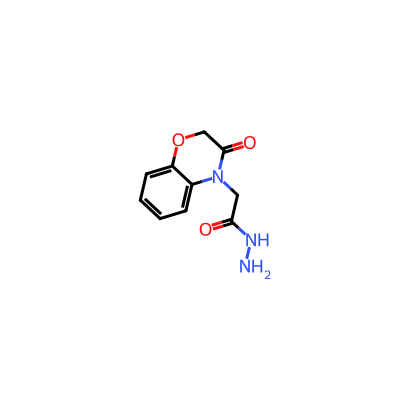 NNC(=O)CN1C(=O)COc2ccccc21